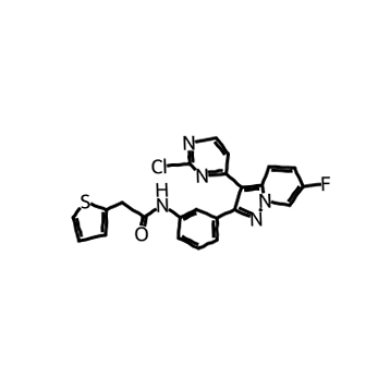 O=C(Cc1cccs1)Nc1cccc(-c2nn3cc(F)ccc3c2-c2ccnc(Cl)n2)c1